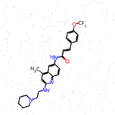 Cc1cc(NCCN2CCCCC2)nc2ccc(NC(=O)C=Cc3ccc(OC(F)(F)F)cc3)cc12